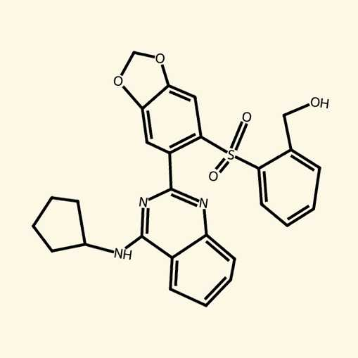 O=S(=O)(c1ccccc1CO)c1cc2c(cc1-c1nc(NC3CCCC3)c3ccccc3n1)OCO2